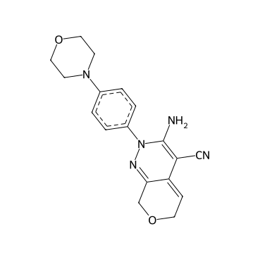 N#CC1=C(N)N(c2ccc(N3CCOCC3)cc2)N=C2COCC=C21